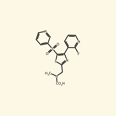 CN(Cc1nc(-c2cccnc2F)c(S(=O)(=O)c2cccnc2)s1)C(=O)O